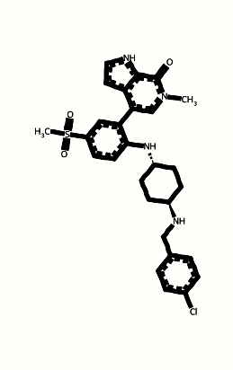 Cn1cc(-c2cc(S(C)(=O)=O)ccc2N[C@H]2CC[C@H](NCc3ccc(Cl)cc3)CC2)c2cc[nH]c2c1=O